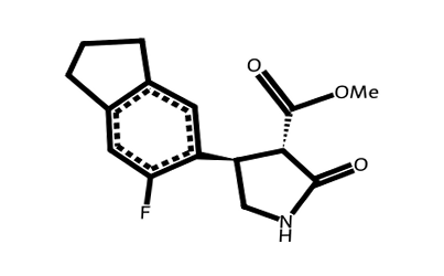 COC(=O)[C@@H]1C(=O)NC[C@H]1c1cc2c(cc1F)CCC2